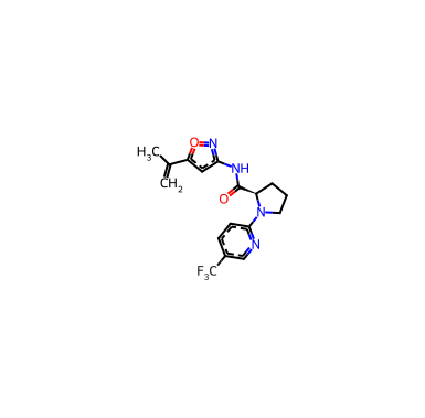 C=C(C)c1cc(NC(=O)[C@H]2CCCN2c2ccc(C(F)(F)F)cn2)no1